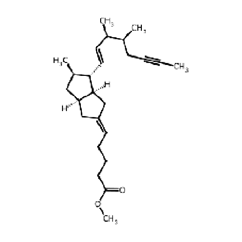 CC#CCC(C)[C@H](C)/C=C/[C@@H]1[C@H]2C/C(=C/CCCC(=O)OC)C[C@H]2C[C@H]1C